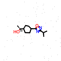 CC(C)c1noc(C2CCC([C@H](C)O)CC2)n1